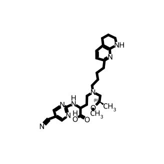 CO[C@H](C)CN(CCCCc1ccc2c(n1)NCCC2)CCC(Nc1ncc(C#N)cn1)C(=O)O